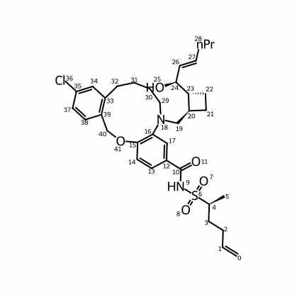 C=CCC[C@H](C)S(=O)(=O)NC(=O)c1ccc2c(c1)N(C[C@@H]1CC[C@H]1[C@@H](O)/C=C/CCC)CCCCc1cc(Cl)ccc1CO2